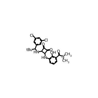 CN(C)C(=O)c1cccc(NC2C(=O)C(=O)C2NC(c2cc(Cl)cc(Cl)c2)C(C)(C)C)c1O